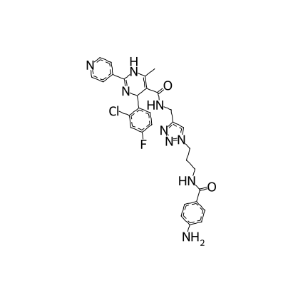 CC1=C(C(=O)NCc2cn(CCCNC(=O)c3ccc(N)cc3)nn2)C(c2ccc(F)cc2Cl)N=C(c2ccncc2)N1